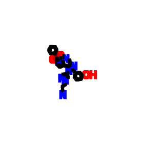 N#CCCn1cc(-n2c(-c3cccc(O)c3)nc3cnc4c(ccn4S(=O)(=O)c4ccccc4)c32)cn1